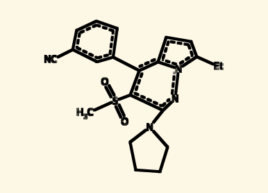 CCc1ccc2c(-c3cccc(C#N)c3)c(S(C)(=O)=O)c(N3CCCC3)nn12